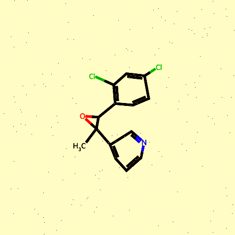 CC1(c2cccnc2)OC1c1ccc(Cl)cc1Cl